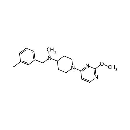 COc1nccc(N2CCC(N(C)Cc3cccc(F)c3)CC2)n1